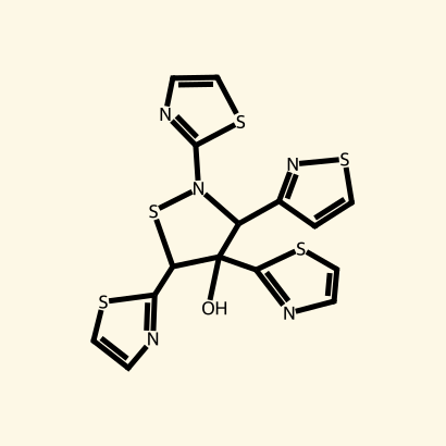 OC1(c2nccs2)C(c2nccs2)SN(c2nccs2)C1c1ccsn1